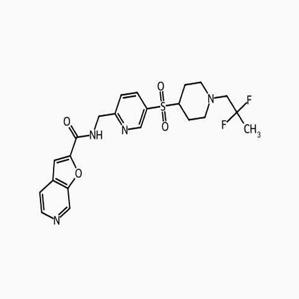 CC(F)(F)CN1CCC(S(=O)(=O)c2ccc(CNC(=O)c3cc4ccncc4o3)nc2)CC1